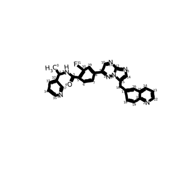 CC(NC(=O)c1ccc(-c2cnc3ncc(Cc4ccc5ncccc5c4)n3n2)cc1F)c1cccnc1